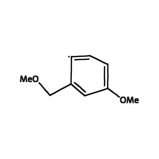 COCc1[c]ccc(OC)c1